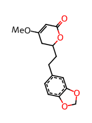 COC1=CC(=O)OC(CCc2ccc3c(c2)OCO3)C1